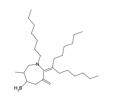 BC1CC(=C)C(=C(CCCCCC)CCCCCC)N(CCCCCCC)CC1C